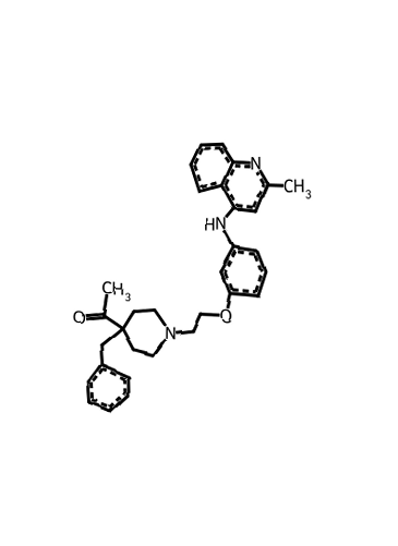 CC(=O)C1(Cc2ccccc2)CCN(CCOc2cccc(Nc3cc(C)nc4ccccc34)c2)CC1